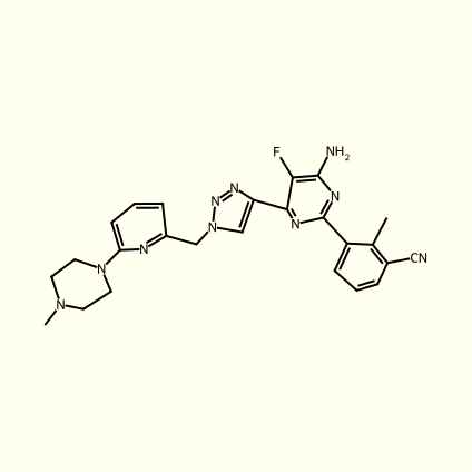 Cc1c(C#N)cccc1-c1nc(N)c(F)c(-c2cn(Cc3cccc(N4CCN(C)CC4)n3)nn2)n1